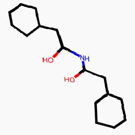 OC(CC1CCCCC1)NC(O)CC1CCCCC1